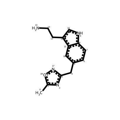 Cc1nc(Cc2ccc3[nH]cc(CCN)c3c2)no1